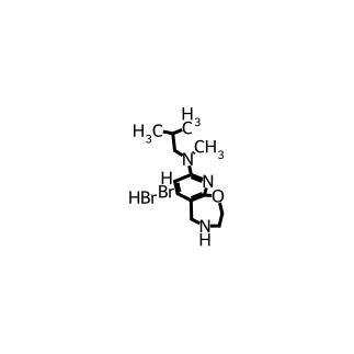 Br.Br.CC(C)CN(C)c1ccc2c(n1)OCCNC2